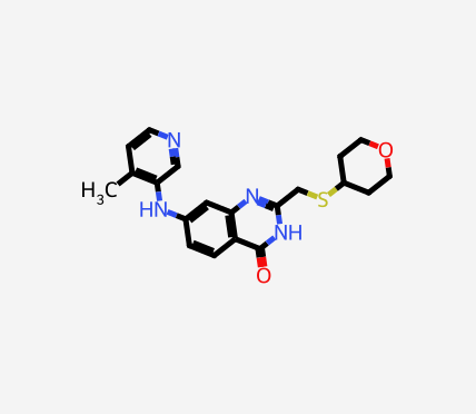 Cc1ccncc1Nc1ccc2c(=O)[nH]c(CSC3CCOCC3)nc2c1